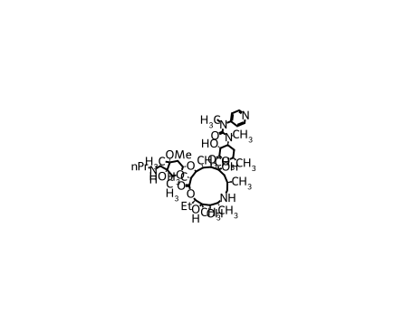 CCCNC[C@]1(O)[C@H](C)O[C@@H](O[C@H]2[C@H](C)[C@@H](O[C@@H]3O[C@H](C)C[C@H](N(C)C(=O)N(C)c4ccncc4)[C@H]3O)[C@](C)(O)C[C@@H](C)CN[C@H](C)[C@@H](O)[C@](C)(O)[C@@H](CC)OC(=O)[C@@H]2C)C[C@@]1(C)OC